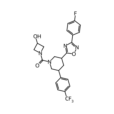 O=C(N1CC(O)C1)N1CC(c2ccc(C(F)(F)F)cc2)CC(c2nc(-c3ccc(F)cc3)no2)C1